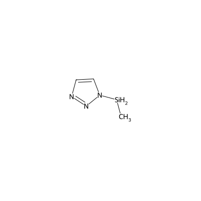 C[SiH2]n1ccnn1